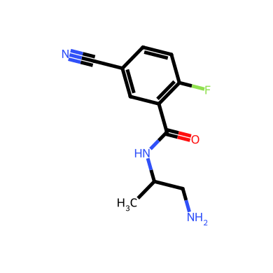 CC(CN)NC(=O)c1cc(C#N)ccc1F